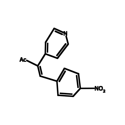 CC(=O)C(=Cc1ccc([N+](=O)[O-])cc1)c1ccncc1